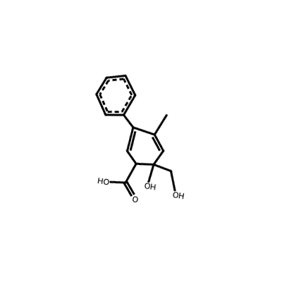 CC1=CC(O)(CO)C(C(=O)O)C=C1c1ccccc1